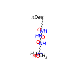 CCCCCCCCCCCCCCCCCC(=O)NCCNC(=O)CCC(=O)NCCCCCC[N+](C)(C)O